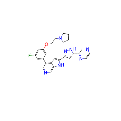 Fc1cc(OCCN2CCCC2)cc(-c2cncc3[nH]c(-c4cc(-c5cnccn5)[nH]n4)cc23)c1